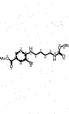 COC(=O)c1cnc(NCCCCNC(=O)OC(C)(C)C)c(Br)c1